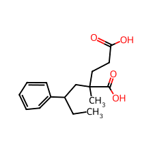 CCC(CC(C)(CCC(=O)O)C(=O)O)c1ccccc1